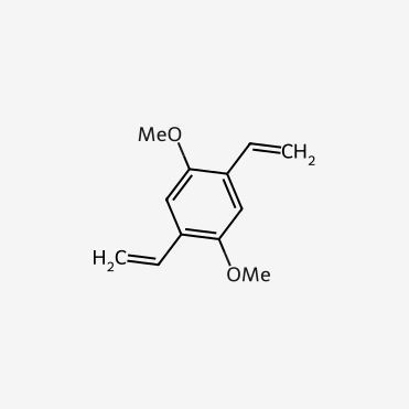 C=Cc1cc(OC)c(C=C)cc1OC